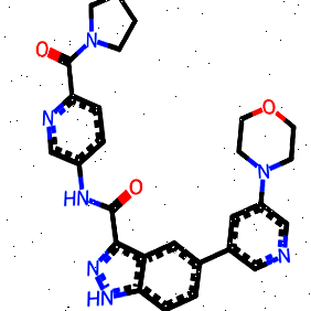 O=C(Nc1ccc(C(=O)N2CCCC2)nc1)c1n[nH]c2ccc(-c3cncc(N4CCOCC4)c3)cc12